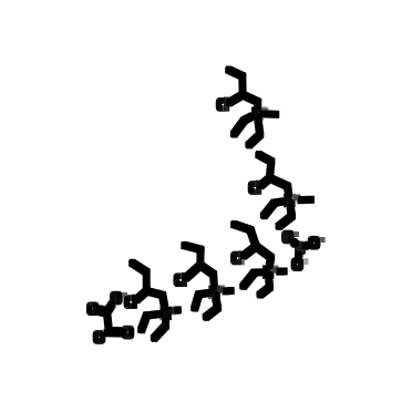 CCC(Cl)C[N+](C)(CC)CC.CCC(Cl)C[N+](C)(CC)CC.CCC(Cl)C[N+](C)(CC)CC.CCC(Cl)C[N+](C)(CC)CC.CCC(Cl)C[N+](C)(CC)CC.O=C([O-])C(=O)[O-].[O-]B([O-])[O-]